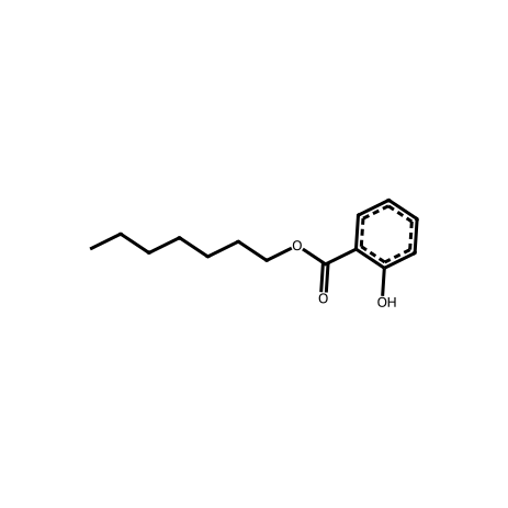 CCCCCCCOC(=O)c1ccccc1O